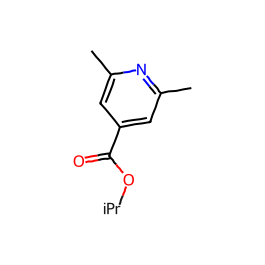 Cc1cc(C(=O)OC(C)C)cc(C)n1